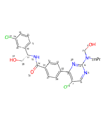 CCCN(CO)c1ncc(Cl)c(-c2ccc(C(=O)N[C@H](CO)c3cccc(Cl)c3)cc2)n1